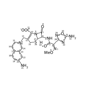 CO/N=C(\C(=O)NC1C(=O)N2C(C(=O)[O-])=C(C[n+]3ccc4ccc(N)cc4c3)CS[C@H]12)c1noc(N)n1